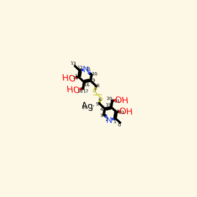 Cc1ncc(CSSCc2cnc(C)c(O)c2CO)c(CO)c1O.[Ag]